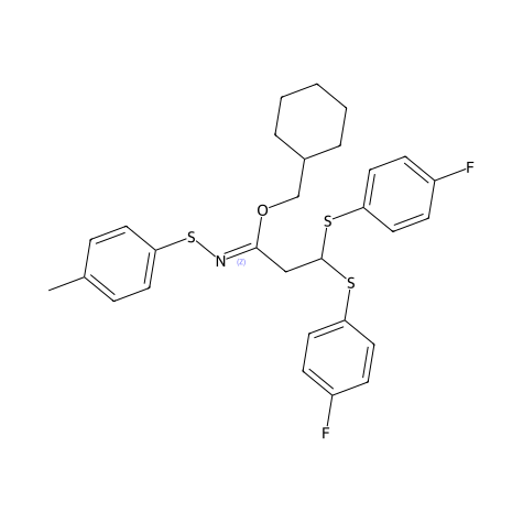 Cc1ccc(S/N=C(/CC(Sc2ccc(F)cc2)Sc2ccc(F)cc2)OCC2CCCCC2)cc1